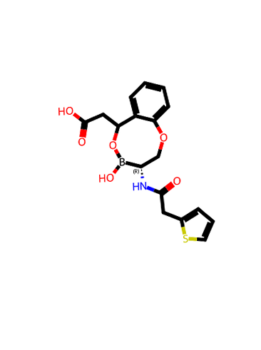 O=C(O)CC1OB(O)[C@@H](NC(=O)Cc2cccs2)COc2ccccc21